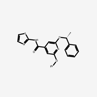 CC(C)Oc1cc(C(=O)Nc2nccs2)cc(O[C@H](C)c2ccccc2)n1